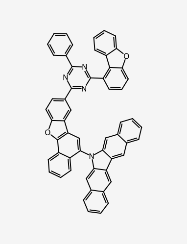 c1ccc(-c2nc(-c3ccc4oc5c6ccccc6c(-n6c7cc8ccccc8cc7c7cc8ccccc8cc76)cc5c4c3)nc(-c3cccc4oc5ccccc5c34)n2)cc1